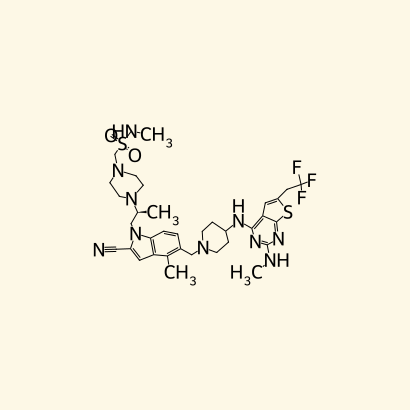 CNc1nc(NC2CCN(Cc3ccc4c(cc(C#N)n4C[C@H](C)N4CCN(CS(=O)(=O)NC)CC4)c3C)CC2)c2cc(CC(F)(F)F)sc2n1